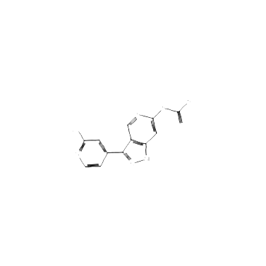 Cc1cc(-c2n[nH]c3cc(NC(N)=O)ncc23)ccn1